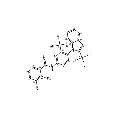 O=C(Nc1ccc(-n2c(C(F)(F)F)nc3ccccc32)c(C(F)(F)F)c1)c1cccc(F)c1F